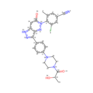 Cc1cc(C#N)cc(F)c1-n1nc2c(-c3ccc(N4CCN(C(=O)C(C)O)CC4)cc3)n[nH]c2cc1=O